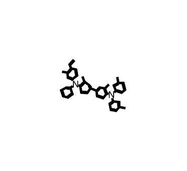 C=Cc1ccc(N(c2ccccc2)c2ccc(-c3ccc(N(c4cccc(C)c4)c4cccc(C)c4)c(C)c3)cc2C)cc1C